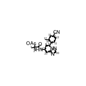 CC(=O)OC(C)(C)C(=O)Nc1cc(-c2ccc(C#N)cc2C)n2ncnc2c1